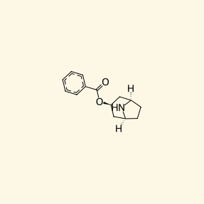 O=C(O[C@H]1C[C@H]2CC[C@@H](C1)N2)c1ccccc1